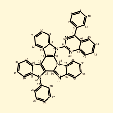 c1ccc(-c2nc(-n3c4ccccc4c4c5c6ccccc6n(-c6ccccc6)c5c5nc6ccccc6n5c43)nc3ccccc23)cc1